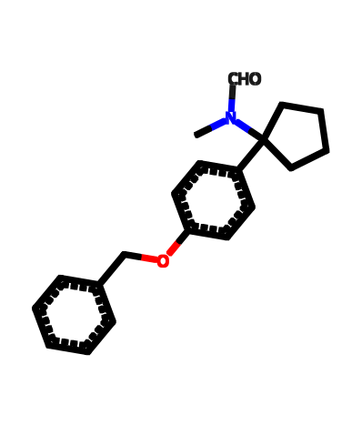 CN(C=O)C1(c2ccc(OCc3ccccc3)cc2)CCCC1